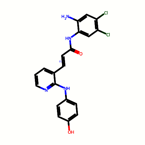 Nc1cc(Cl)c(Cl)cc1NC(=O)/C=C/c1cccnc1Nc1ccc(O)cc1